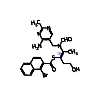 C/C(=C(\CCO)SC(=O)c1ccc2ccccc2c1Br)N(C=O)Cc1cnc(C)nc1N